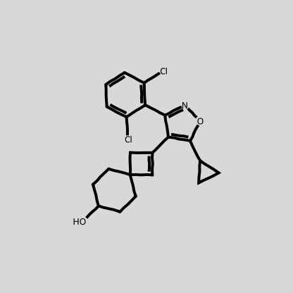 OC1CCC2(C=C(c3c(-c4c(Cl)cccc4Cl)noc3C3CC3)C2)CC1